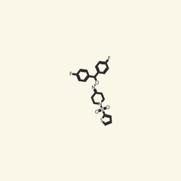 O=S(=O)(c1cccs1)N1CCC(=NOC(c2ccc(F)cc2)c2ccc(F)cc2)CC1